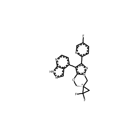 Fc1ccc(-c2nn3c(c2-c2ccnc4[nH]ncc24)OC[C@]2(C3)CC2(F)F)nc1